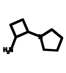 NC1CCC1N1CCCC1